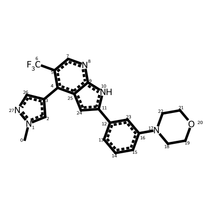 Cn1cc(-c2c(C(F)(F)F)cnc3[nH]c(-c4cccc(N5CCOCC5)c4)cc23)cn1